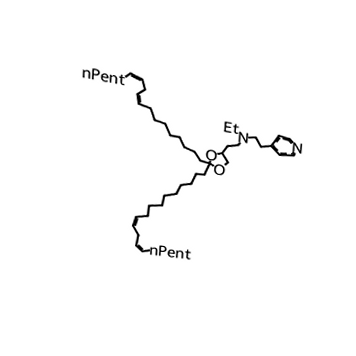 CCCCC/C=C\C/C=C\CCCCCCCCCC1(CCCCCCCC/C=C\C/C=C\CCCCC)OCC(CCN(CC)CCc2ccncc2)O1